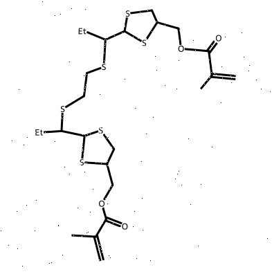 C=C(C)C(=O)OCC1CSC(C(CC)SCCSC(CC)C2SCC(COC(=O)C(=C)C)S2)S1